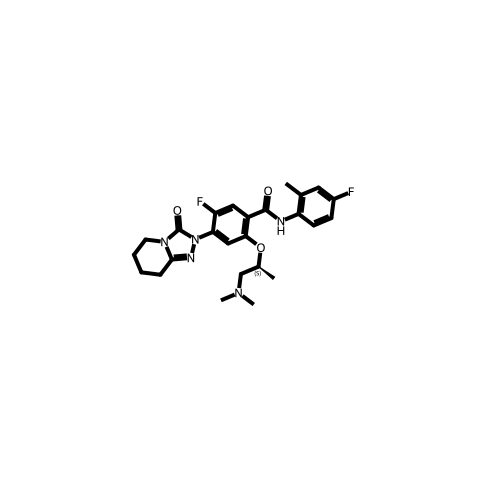 Cc1cc(F)ccc1NC(=O)c1cc(F)c(-n2nc3n(c2=O)CCCC3)cc1O[C@@H](C)CN(C)C